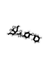 CCCC(CCC)(NC(=O)Nc1ccc(Oc2ccccc2)cc1)C(=O)O